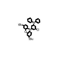 CC(C)(C)c1ccc2c(c1)Oc1cc(C(C)(C)C)ccc1N2c1cc(Cl)cc(N(c2ccccc2)c2ccccc2)c1